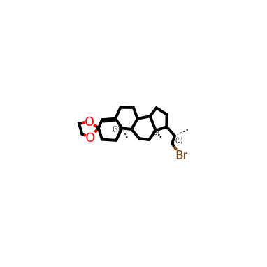 C[C@H](CBr)C1CCC2C3CCC4=CC5(CC[C@]4(C)C3CC[C@@]21C)OCCO5